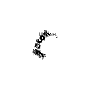 NCCS(=O)(=O)Nc1ccc(CC(=O)N2CCN(c3ncnc4sc(CC(F)(F)F)cc34)CC2)cc1